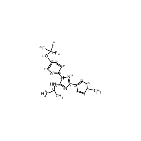 Cc1ccc(-c2nc(NC(C)C)n(-c3ccc(OC(F)(F)F)cc3)n2)cc1